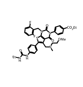 CCNC(=O)Nc1ccc(-c2sc3c(c2CN(C)CCOC)c(=O)n(-c2ccc(C(=O)OCC)cc2)c(=O)n3Cc2c(F)cccc2F)cc1